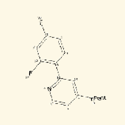 CCCCCc1ccnc(-c2ccc(F)cc2F)c1